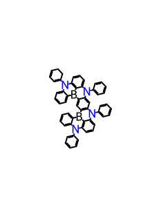 C1=CCCC(N2c3ccccc3B3c4cc5c(cc4N(c4ccccc4)c4cccc2c43)N(c2ccccc2)c2cccc3c2B5c2ccccc2N3c2ccccc2)=C1